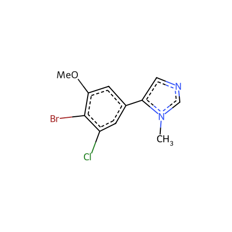 COc1cc(-c2cncn2C)cc(Cl)c1Br